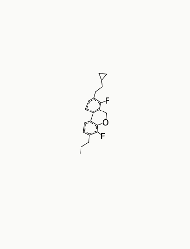 CCCc1ccc2c(c1F)OCc1c-2ccc(CCC2CC2)c1F